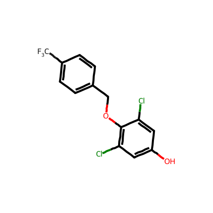 Oc1cc(Cl)c(OCc2ccc(C(F)(F)F)cc2)c(Cl)c1